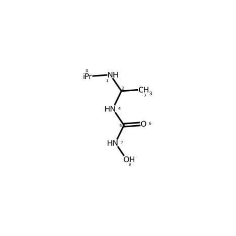 CC(C)NC(C)NC(=O)NO